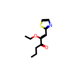 CCCC(=O)C(=Cc1nccs1)OCC